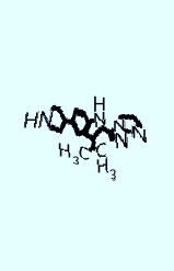 CC(C)c1c(-c2cnc3ncccn23)[nH]c2ccc(C3CCNCC3)cc12